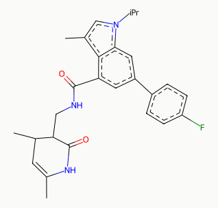 CC1=CC(C)C(CNC(=O)c2cc(-c3ccc(F)cc3)cc3c2c(C)cn3C(C)C)C(=O)N1